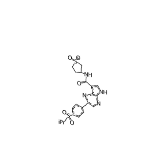 CC(C)S(=O)(=O)c1ccc(-c2cnc3[nH]cc(C(=O)NC4CCS(=O)(=O)C4)c3n2)cc1